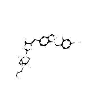 Cc1ccc(Cn2ncc3cc(/C=C4\SC(N5C[C@@H]6C[C@H]5CN6CCO)=NC4=O)ccc32)c(C(F)(F)F)c1